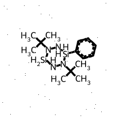 CC(C)(C)N1N[SiH](c2ccccc2)N(C(C)(C)C)N[SiH2]1